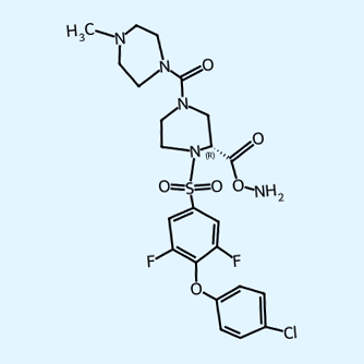 CN1CCN(C(=O)N2CCN(S(=O)(=O)c3cc(F)c(Oc4ccc(Cl)cc4)c(F)c3)[C@@H](C(=O)ON)C2)CC1